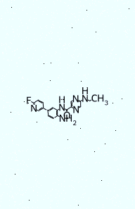 CCNc1cnc(C(=O)Nc2cc(-c3ccc(F)nc3)ccc2N)cn1